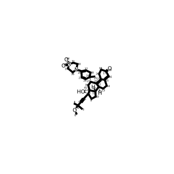 COC(C)(C)C#C[C@]1(O)CC[C@H]2[C@@H]3CCC4=CC(=O)CCC4=C3[C@@H](C3(C)C=CC(N4CCS(=O)(=O)CC4)=CC3)C[C@@]21C